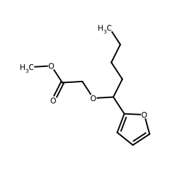 CCCCC(OCC(=O)OC)c1ccco1